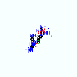 Cc1cc(N(CC(N)=O)C(=O)CNC(=O)CN)ccc1-c1ccc(C[C@H](NC(=O)[C@H]2CC[C@H](CN)CC2)C(=O)Nc2ccc(-c3nn[nH]n3)cc2)cc1.Cl